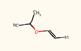 CCC=COC(C)C#N